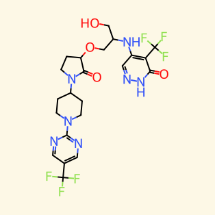 O=C1C(OCC(CO)Nc2cn[nH]c(=O)c2C(F)(F)F)CCN1C1CCN(c2ncc(C(F)(F)F)cn2)CC1